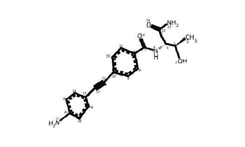 C[C@@H](O)[C@H](NC(=O)c1ccc(C#Cc2ccc(N)cc2)cc1)C(N)=O